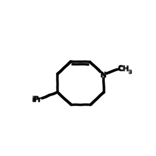 CC(C)C1C/C=C\N(C)CCC1